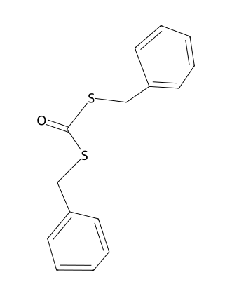 O=C(SCc1ccccc1)SCc1ccccc1